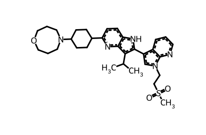 CC(C)c1c(-c2cn(CCS(C)(=O)=O)c3ncccc23)[nH]c2ccc(C3CCC(N4CCCOCCC4)CC3)nc12